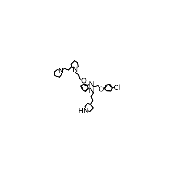 Clc1ccc(OCc2nc3c(OCCCN4CCCCC4CCN4CCCCC4)cccc3n2CCCC2CCNCC2)cc1